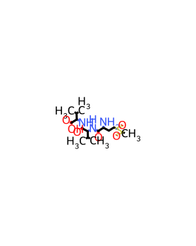 CC(C)C(NC(=O)C(NC(=O)C(N)CCS(C)(=O)=O)C(C)C)C(=O)O